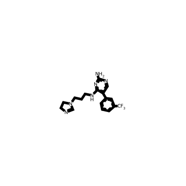 Nc1ncc(-c2cccc(C(F)(F)F)c2)c(NCCCN2C=NCC2)n1